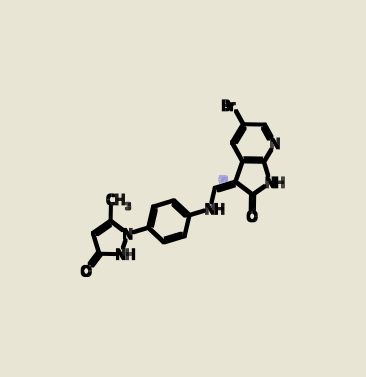 Cc1cc(=O)[nH]n1-c1ccc(N/C=C2\C(=O)Nc3ncc(Br)cc32)cc1